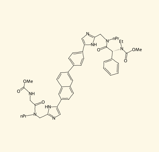 CCCN(Cc1ncc(-c2ccc3cc(-c4ccc(-c5cnc(CN(CCC)C(=O)[C@@H](c6ccccc6)N(CC)C(=O)OC)[nH]5)cc4)ccc3c2)[nH]1)C(=O)CNC(=O)OC